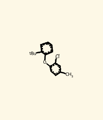 Cc1ccc(Oc2ccccc2C(C)(C)C)c(Cl)c1